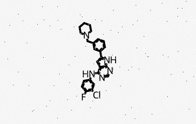 Fc1ccc(Nc2ncnc3[nH]c(-c4cccc(CN5CCCCC5)c4)cc23)cc1Cl